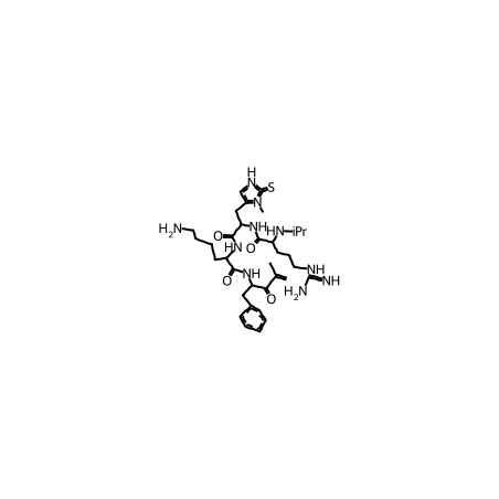 C=C(C)C(=O)C(Cc1ccccc1)NC(=O)C(CCCCN)NC(=O)C(Cc1c[nH]c(=S)n1C)NC(=O)C(CCCNC(=N)N)NC(C)C